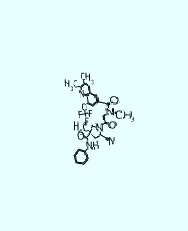 Cc1cc2cc(C(=O)N(C)CC(=O)N3CC(C)(C(=O)Nc4ccccc4)CC3C#N)cc(OC(F)(F)F)c2nc1C